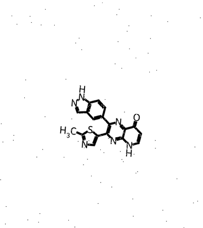 Cc1ncc(-c2nc3[nH]ccc(=O)c3nc2-c2ccc3[nH]ncc3c2)s1